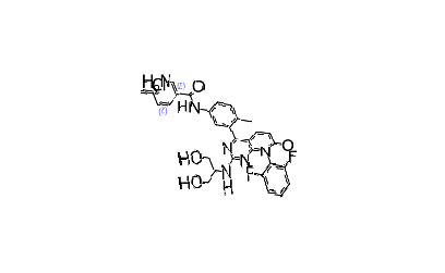 C=C(Cl)/C=C\C(=C/N)C(=O)Nc1ccc(C)c(-c2nc(NC(CO)CO)nc3c2ccc(=O)n3-c2c(F)cccc2F)c1